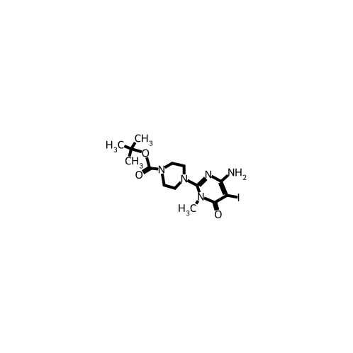 Cn1c(N2CCN(C(=O)OC(C)(C)C)CC2)nc(N)c(I)c1=O